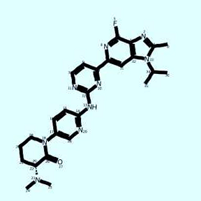 Cc1nc2c(F)nc(-c3ccnc(Nc4ccc(N5CCC[C@@H](N(C)C)C5=O)cn4)n3)cc2n1C(C)C